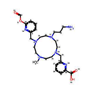 CN1CCN(Cc2cccc(OC=O)n2)CCN(CCCN)CCN(Cc2cccc(C(=O)O)n2)CC1